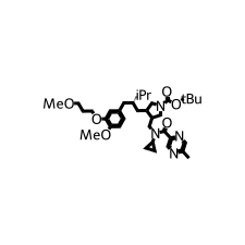 COCCCOc1cc(C[C@@H](CC2CN(C(=O)OC(C)(C)C)CC2CN(C(=O)c2cnc(C)cn2)C2CC2)C(C)C)ccc1OC